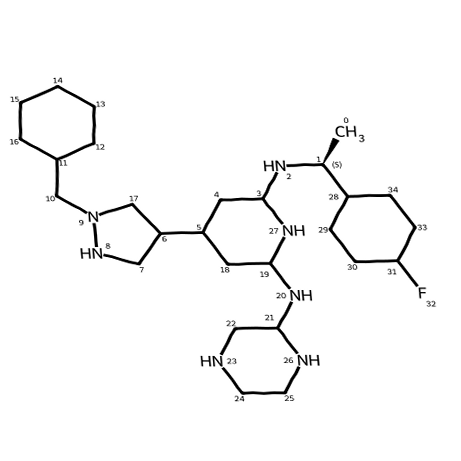 C[C@H](NC1CC(C2CNN(CC3CCCCC3)C2)CC(NC2CNCCN2)N1)C1CCC(F)CC1